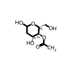 CC(=O)O[C@H]1[C@H](O)CC(O)O[C@@H]1CO